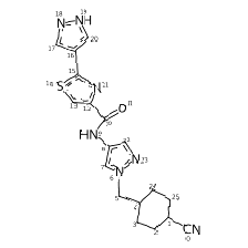 N#CC1CCC(Cn2cc(NC(=O)c3csc(-c4cn[nH]c4)n3)cn2)CC1